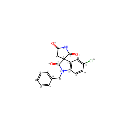 O=C1CC2(C(=O)N1)C(=O)N(Cc1ccccc1)c1ccc(Cl)cc12